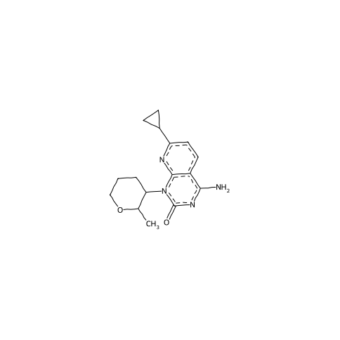 CC1OCCCC1n1c(=O)nc(N)c2ccc(C3CC3)nc21